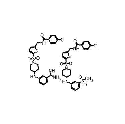 CS(=O)(=O)c1cccc(NC2CCN(S(=O)(=O)c3ccc(CNC(=O)c4ccc(Cl)cc4)s3)CC2)c1.N=C(N)c1cccc(NC2CCN(S(=O)(=O)c3ccc(CNC(=O)c4ccc(Cl)cc4)s3)CC2)c1